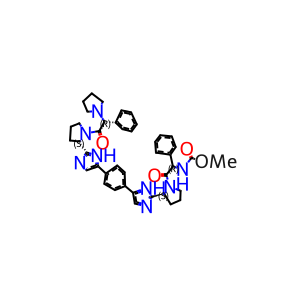 COC(=O)N[C@@H](C(=O)N1CCC[C@H]1c1ncc(-c2ccc(-c3cnc([C@@H]4CCCN4C(=O)[C@@H](c4ccccc4)N4CCCC4)[nH]3)cc2)[nH]1)c1ccccc1